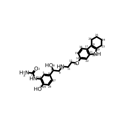 NC(=O)Nc1cc(C(O)CNCCOc2ccc3c4c([nH]c3c2)CCCC4)ccc1O